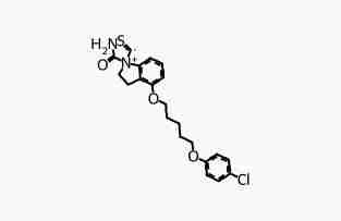 NC(=O)[N+]1([C]=S)CCc2c(OCCCCCOc3ccc(Cl)cc3)cccc21